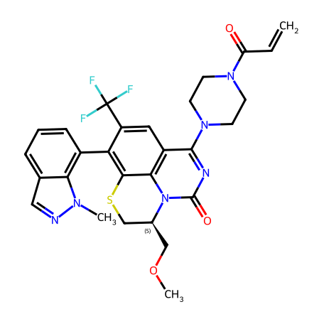 C=CC(=O)N1CCN(c2nc(=O)n3c4c(c(-c5cccc6cnn(C)c56)c(C(F)(F)F)cc24)SC[C@@H]3COC)CC1